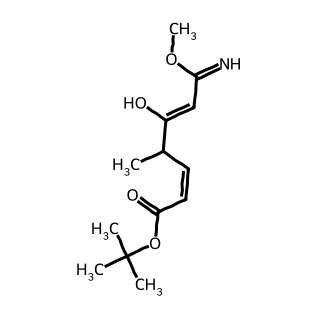 COC(=N)/C=C(\O)C(C)/C=C\C(=O)OC(C)(C)C